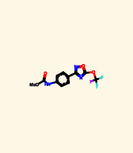 COC(=O)Nc1ccc(-c2noc(OC(F)(F)I)n2)cc1